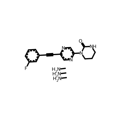 CN.CN.CN.O=C1NCCCN1c1cnc(C#Cc2cccc(F)c2)cn1